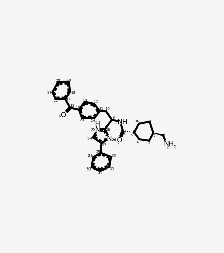 NC[C@H]1CC[C@H](C(=O)NC(Cc2ccc(C(=O)c3ccccc3)cc2)c2nc(-c3ccccc3)c[nH]2)CC1